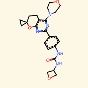 O=C(Nc1ccc(-c2nc3c(c(N4CCOCC4)n2)CCC2(CC2)O3)cc1)NC1COC1